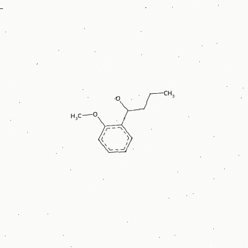 CCCC([O])c1ccccc1OC